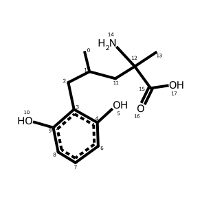 CC(Cc1c(O)cccc1O)CC(C)(N)C(=O)O